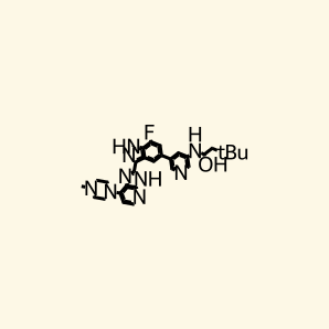 CN1CCN(c2ccnc3[nH]c(-c4n[nH]c5c(F)cc(-c6cncc(NC(O)CC(C)(C)C)c6)cc45)nc23)CC1